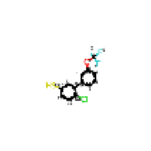 FC(F)(F)Oc1cccc(-c2cc(S)ccc2Cl)c1